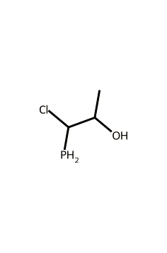 CC(O)C(P)Cl